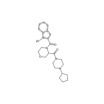 CC(C)n1c(C(=O)N2CCOCC2C(=O)N2CCN(C3CCCC3)CC2)cc2ccccc21